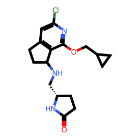 O=C1CC[C@@H](CNC2CCc3cc(Cl)nc(OCC4CC4)c32)N1